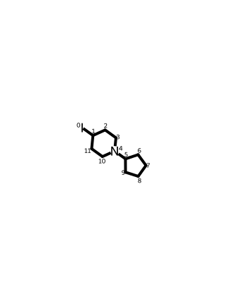 IC1CCN(C2CCCC2)CC1